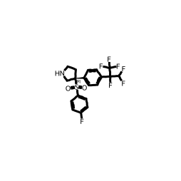 O=S(=O)(c1ccc(F)cc1)[C@@]1(c2ccc(C(F)(C(F)F)C(F)(F)F)cc2)CCNC1